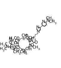 CO[C@@]1(C)C[C@@H](C)C(=O)[C@H](C)[C@H]2N(CCCCn3cnc(-c4ccc(N(C)C)nc4)c3)C(=O)O[C@@]23C(C)[C@H]3OC(=O)[C@H](C)C(=O)[C@H](C)[C@H]1OC1O[C@H](C)C[C@H](N(C)C)[C@H]1O